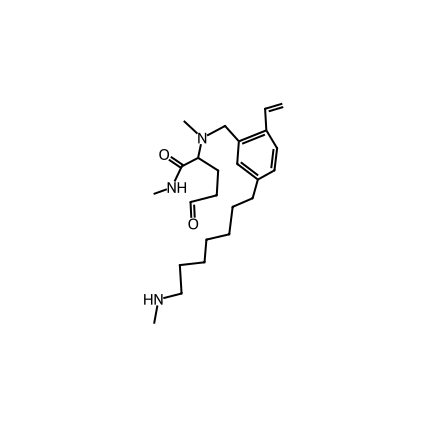 C=Cc1ccc(CCCCCCCNC)cc1CN(C)C(CCC=O)C(=O)NC